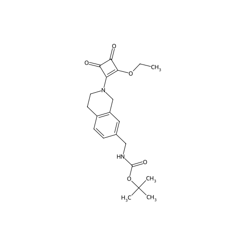 CCOc1c(N2CCc3ccc(CNC(=O)OC(C)(C)C)cc3C2)c(=O)c1=O